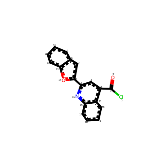 O=C(Cl)c1cc(-c2cc3ccccc3o2)nc2ccccc12